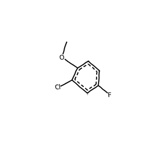 COc1ccc(F)[c]c1Cl